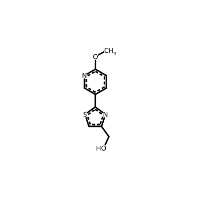 COc1ccc(-c2nc(CO)cs2)cn1